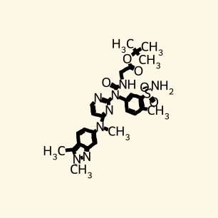 Cc1ccc(N(C(=O)NCC(=O)OC(C)(C)C)c2nccc(N(C)c3ccc4c(C)n(C)nc4c3)n2)cc1S(N)(=O)=O